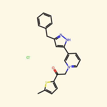 Cc1ccc(C(=O)C[n+]2cccc(-c3cc(Cc4ccccc4)n[nH]3)c2)s1.[Cl-]